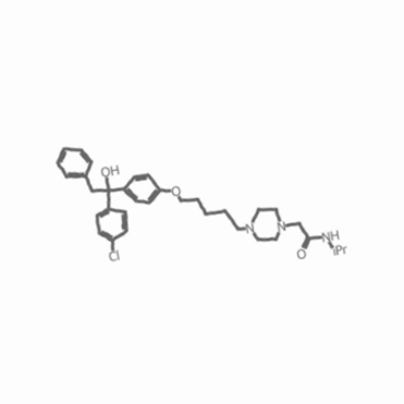 CC(C)NC(=O)CN1CCN(CCCCCOc2ccc(C(O)(Cc3ccccc3)c3ccc(Cl)cc3)cc2)CC1